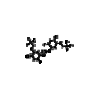 Fc1cc(Cl)c(SCC(F)(F)F)cc1OBOc1cc(SCC(F)(F)F)c(Cl)cc1F